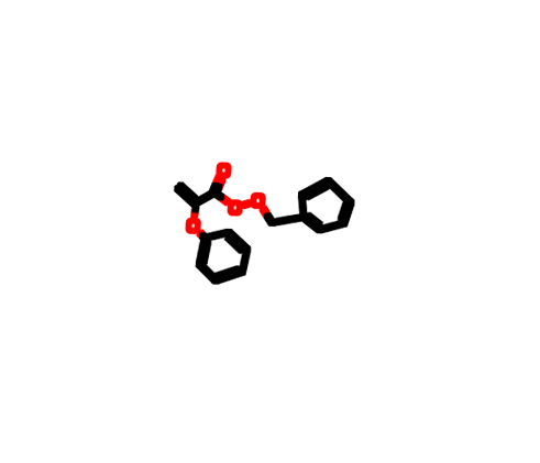 C=C(Oc1ccccc1)C(=O)OOCc1ccccc1